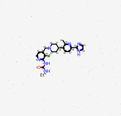 CCNC(=O)Nc1nccc(CN2CCC(c3ccc(-c4ncc[nH]4)nc3C)CC2)c1F